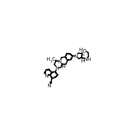 C[C@@H]1CN(c2ccc(C#N)c3ncccc23)C[C@@H]2Cc3cc(N4C[C@H]5NCCO[C@@H]5C4)ccc3CN21